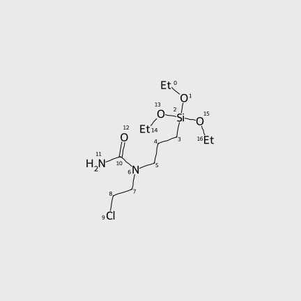 CCO[Si](CCCN(CCCl)C(N)=O)(OCC)OCC